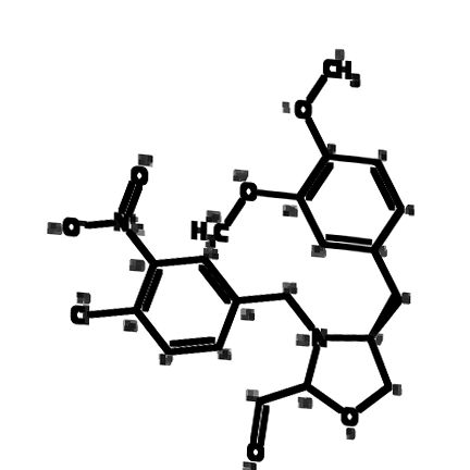 COc1ccc(C[C@H]2COC(C=O)N2Cc2ccc(Cl)c([N+](=O)[O-])c2)cc1OC